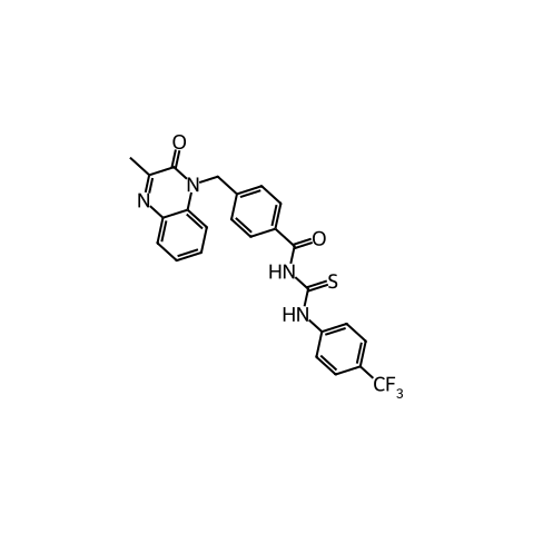 Cc1nc2ccccc2n(Cc2ccc(C(=O)NC(=S)Nc3ccc(C(F)(F)F)cc3)cc2)c1=O